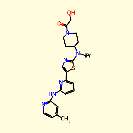 Cc1ccnc(Nc2cccc(-c3cnc(N(C(C)C)C4CCN(C(=O)CO)CC4)s3)n2)c1